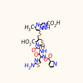 CC1=NC2=CN(C(=O)O)NN2C(SCC2=C(C(=O)O)N3C(=O)[C@@H](NC(=O)C(=NOC(=O)c4cccnc4)c4csc(N)n4)[C@H]3SC2)=C1